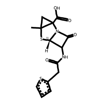 CC12CC1(C(=O)O)N1C(=O)C(NC(=O)Cc3cccs3)[C@@H]1S2